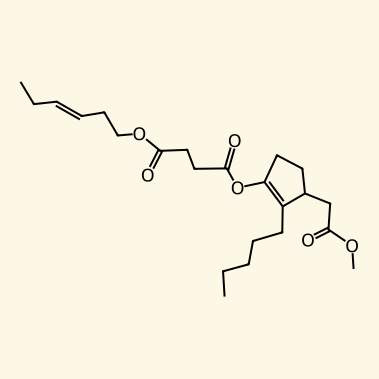 CCC=CCCOC(=O)CCC(=O)OC1=C(CCCCC)C(CC(=O)OC)CC1